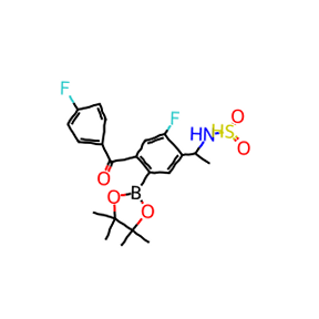 CC(N[SH](=O)=O)c1cc(B2OC(C)(C)C(C)(C)O2)c(C(=O)c2ccc(F)cc2)cc1F